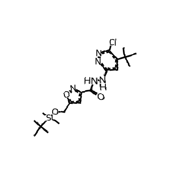 CC(C)(C)c1cc(NNC(=O)c2cc(CO[Si](C)(C)C(C)(C)C)on2)nnc1Cl